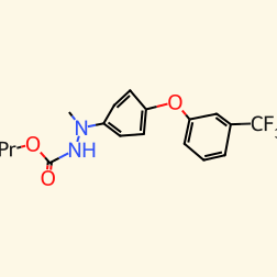 CC(C)OC(=O)NN(C)c1ccc(Oc2cccc(C(F)(F)F)c2)cc1